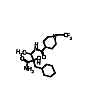 CC(NC(=O)C1CCN(CC(F)(F)F)CC1)C(O)(CC1CCCCC1)C(N)=O